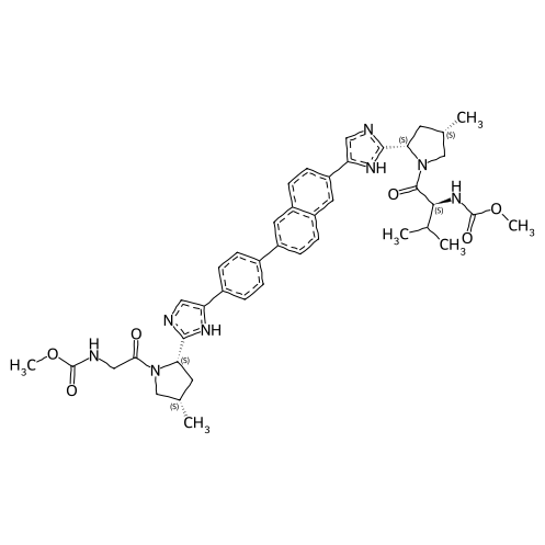 COC(=O)NCC(=O)N1C[C@@H](C)C[C@H]1c1ncc(-c2ccc(-c3ccc4cc(-c5cnc([C@@H]6C[C@H](C)CN6C(=O)[C@@H](NC(=O)OC)C(C)C)[nH]5)ccc4c3)cc2)[nH]1